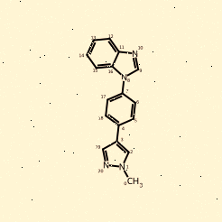 Cn1cc(-c2ccc(-n3cnc4cc[c]cc43)cc2)cn1